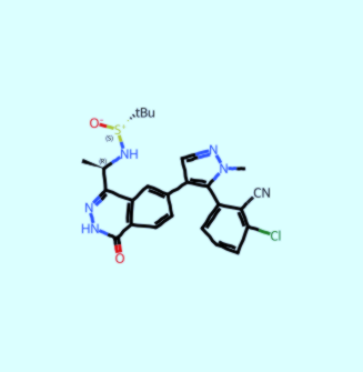 C[C@@H](N[S@+]([O-])C(C)(C)C)c1n[nH]c(=O)c2ccc(-c3cnn(C)c3-c3cccc(Cl)c3C#N)cc12